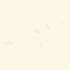 FC(F)(F)[C@H](Nc1ccc(C2CCNC2)cc1)c1ccc(Br)cn1